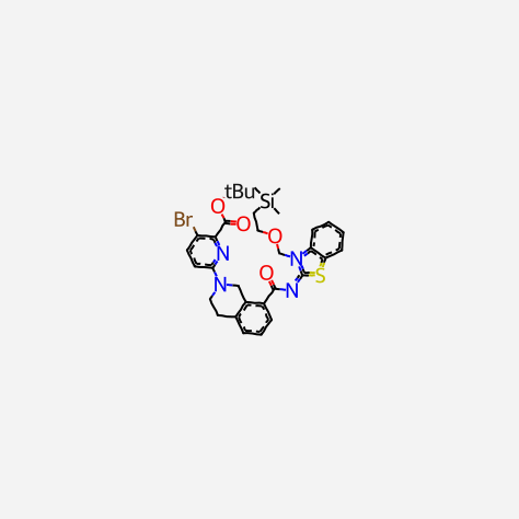 CC(C)(C)OC(=O)c1nc(N2CCc3cccc(C(=O)N=c4sc5ccccc5n4COCC[Si](C)(C)C)c3C2)ccc1Br